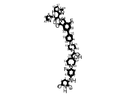 O=C1CCC(Nc2ccc(N3CCCC(O)(CC(=O)N4CCN(c5ccc(-c6cc(F)c7c(c6)C(=O)N(C(C(=O)Nc6nccs6)c6ncn8c6CCC8)C7)cc5)CC4)CC3)c(F)c2)C(=O)N1